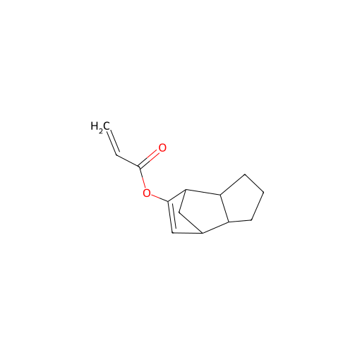 C=CC(=O)OC1=CC2CC1C1CCCC21